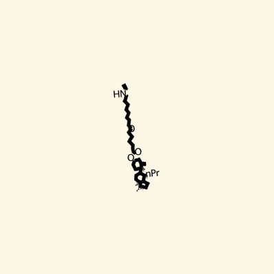 C=CNCCCCCCCCOCCCCCC(=O)OC1CC[C@](C)(C2CC[C@@]3(C)C(CC[C@@H]3C)[C@@H]2CCC)C(=C)C1